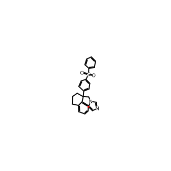 O=S(=O)(c1ccccc1)c1ccc(C2(Cn3ccnc3)CCCc3ccccc32)cc1